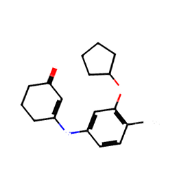 COc1ccc(NC2=CC(=O)CCC2)cc1OC1CCCC1